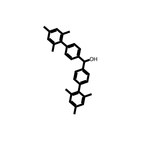 Cc1cc(C)c(-c2ccc(C(O)c3ccc(-c4c(C)cc(C)cc4C)cc3)cc2)c(C)c1